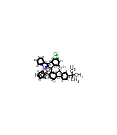 CC(C)(C)c1ccc2c(c1)[CH]([Zr+2])c1c-2ccc(C(C)(C)C)c1C1c2ccccc2-c2c1n(-c1ccccc1)c1ccccc21.[Cl-].[Cl-]